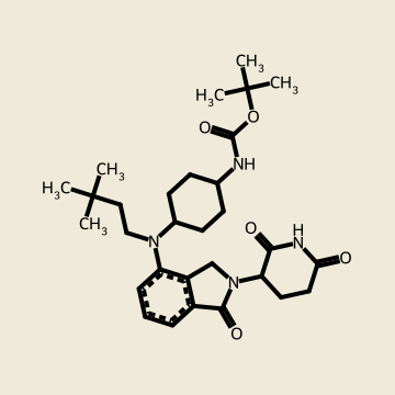 CC(C)(C)CCN(c1cccc2c1CN(C1CCC(=O)NC1=O)C2=O)C1CCC(NC(=O)OC(C)(C)C)CC1